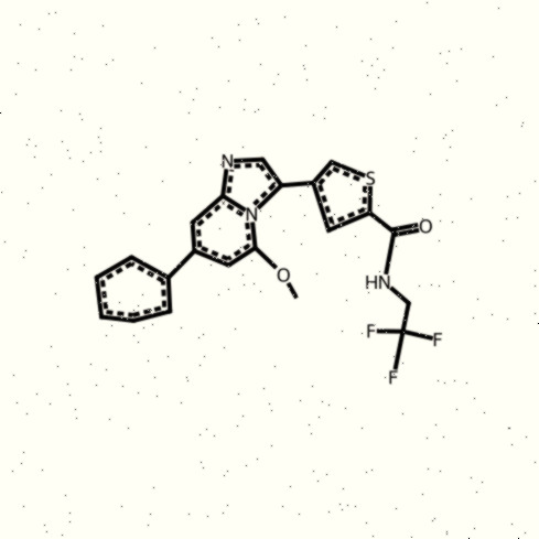 COc1cc(-c2ccccc2)cc2ncc(-c3csc(C(=O)NCC(F)(F)F)c3)n12